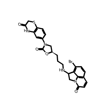 O=C1CSc2ccc(N3C[C@@H](CCCNC4Cn5c(=O)ccc6ccc(Br)c4c65)OC3=O)cc2N1